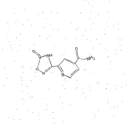 NC(=O)c1ccnc(-c2noc(=O)[nH]2)c1